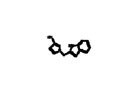 CCCc1ccn(Cc2cc3ccccc3[nH]2)c1